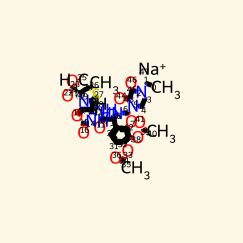 CCN1CCN(C(=O)NC(C(=O)N[C@]2(NC=O)C(=O)N3[C@@H](C(=O)[O-])C(C)(C)S[C@@H]32)c2ccc(OC(C)=O)c(OC(C)=O)c2)C(=O)C1=O.[Na+]